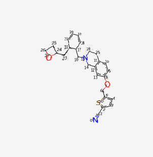 N#Cc1ccc(COc2ccc3c(c2)CN(CC2C=CC=C[C@@H]2CC2CCO2)CC3)s1